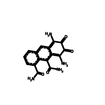 NC(=O)c1cccc2cc3c(c(C(N)=O)c12)=C(N)C(=O)C(=O)C=3N